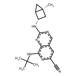 CC(C)(C)Nc1nc(C#N)cc2cnc(N[C@H]3C[C@]4(C)CC34)nc12